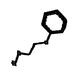 C[CH]OCCOc1ccccc1